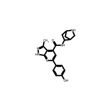 Cc1n[nH]c2nc(-c3ccc(O)cc3)cc(C(=O)NC3CC4CC3CN4)c12